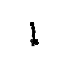 COC(=O)C(C#N)C(=O)CCCOCCOCCOCc1ccccc1